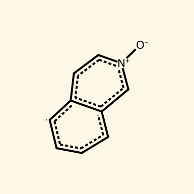 [O-][n+]1ccc2[c]cccc2c1